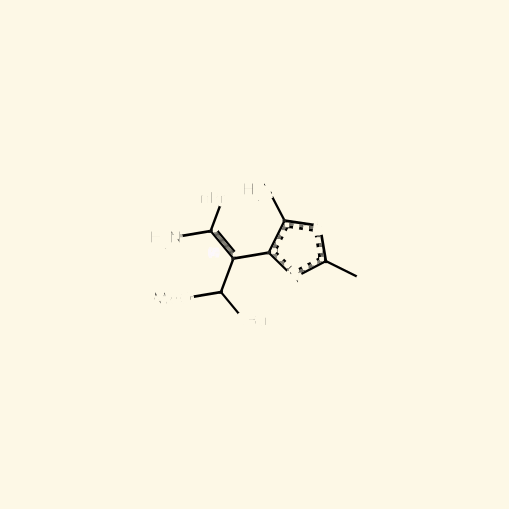 CCC/C(N)=C(\c1nc(C)sc1N)C(OC)C(C)(C)C